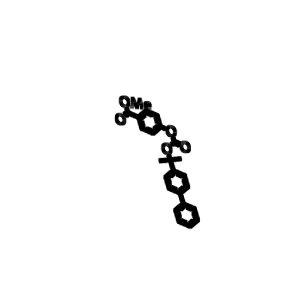 COC(=O)c1ccc(OC(=O)OC(C)(C)c2ccc(-c3ccccc3)cc2)cc1